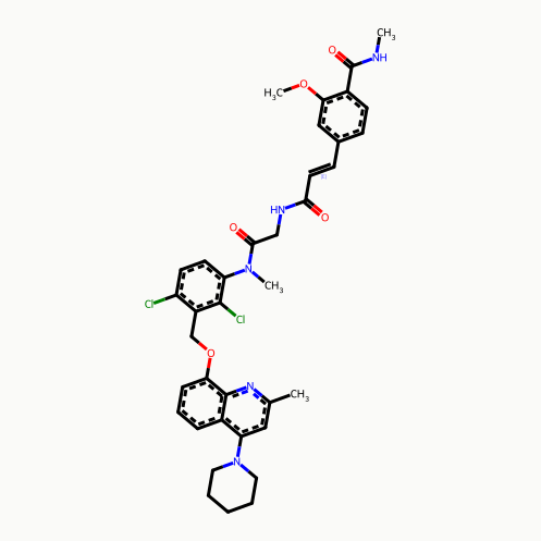 CNC(=O)c1ccc(/C=C/C(=O)NCC(=O)N(C)c2ccc(Cl)c(COc3cccc4c(N5CCCCC5)cc(C)nc34)c2Cl)cc1OC